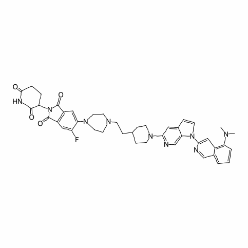 CN(C)c1cccc2cnc(-n3ccc4cc(N5CCC(CCN6CCN(c7cc8c(cc7F)C(=O)N(C7CCC(=O)NC7=O)C8=O)CC6)CC5)ncc43)cc12